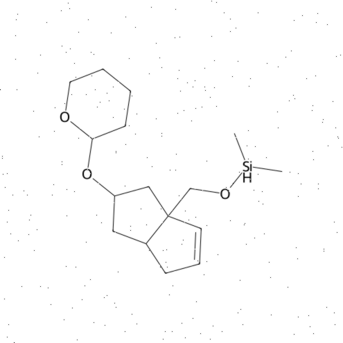 C[SiH](C)OCC12C=CCC1CC(OC1CCCCO1)C2